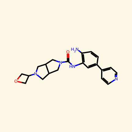 Nc1ccc(-c2ccncc2)cc1NC(=O)N1CC2CN(C3COC3)CC2C1